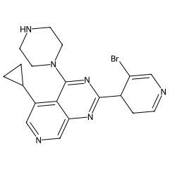 BrC1=CN=CCC1c1nc(N2CCNCC2)c2c(C3CC3)cncc2n1